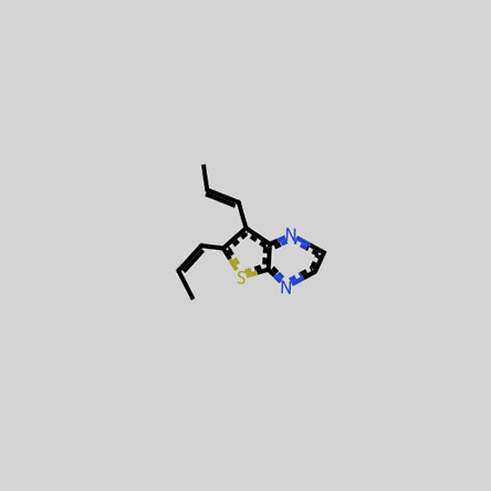 C/C=C\c1sc2nccnc2c1/C=C/C